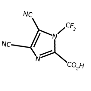 N#Cc1nc(C(=O)O)n(C(F)(F)F)c1C#N